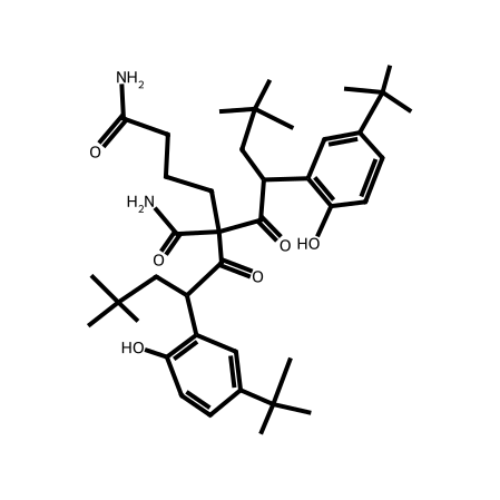 CC(C)(C)CC(C(=O)C(CCCC(N)=O)(C(N)=O)C(=O)C(CC(C)(C)C)c1cc(C(C)(C)C)ccc1O)c1cc(C(C)(C)C)ccc1O